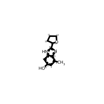 Cc1cc(O)cc2[nH]c(C3CCCO3)nc12